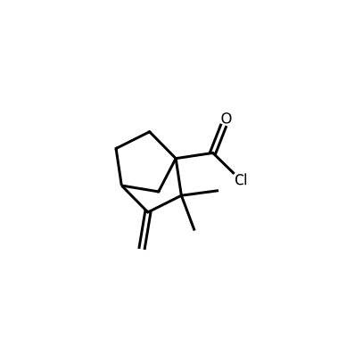 C=C1C2CCC(C(=O)Cl)(C2)C1(C)C